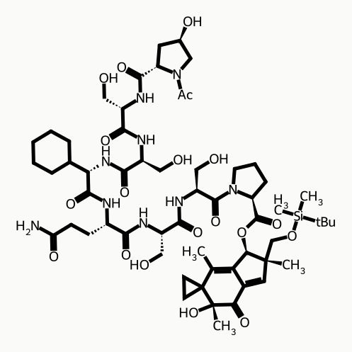 CC(=O)N1C[C@H](O)C[C@H]1C(=O)N[C@@H](CO)C(=O)N[C@@H](CO)C(=O)N[C@H](C(=O)N[C@@H](CCC(N)=O)C(=O)N[C@@H](CO)C(=O)N[C@@H](CO)C(=O)N1CCC[C@H]1C(=O)O[C@@H]1C2=C(C)C3(CC3)[C@@](C)(O)C(=O)C2=C[C@@]1(C)CO[Si](C)(C)C(C)(C)C)C1CCCCC1